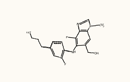 Cn1cnc2c(F)c(Nc3ccc(CCCO)cc3F)c(CO)cc21